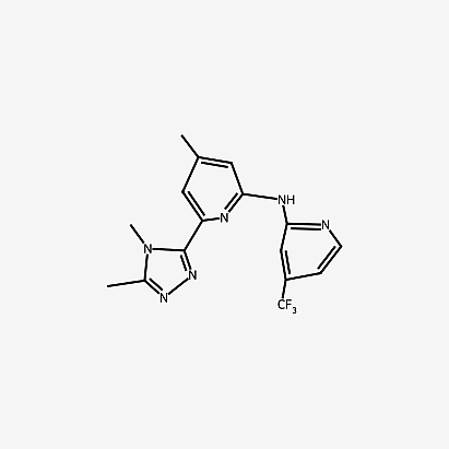 Cc1cc(Nc2cc(C(F)(F)F)ccn2)nc(-c2nnc(C)n2C)c1